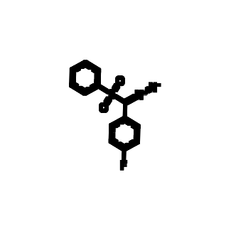 [N-]=[N+]=C(c1ccc(F)cc1)S(=O)(=O)c1ccccc1